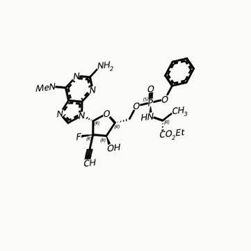 C#C[C@@]1(F)[C@H](O)[C@@H](CO[P@@](=O)(N[C@H](C)C(=O)OCC)Oc2ccccc2)O[C@H]1n1cnc2c(NC)nc(N)nc21